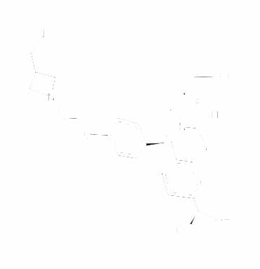 C[C@H](O)c1ccc2c(c1)C[C@@H](C)N(CC(F)(F)CO)[C@@H]2c1ccc(OCCN2CC(CI)C2)cc1